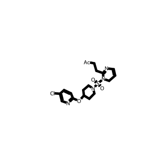 CC(=O)CCC1=NC=CCN1S(=O)(=O)N1CCC(Oc2ccc(Cl)cn2)CC1